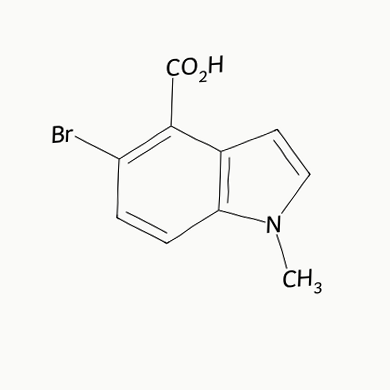 Cn1ccc2c(C(=O)O)c(Br)ccc21